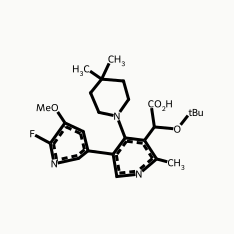 COc1cc(-c2cnc(C)c(C(OC(C)(C)C)C(=O)O)c2N2CCC(C)(C)CC2)cnc1F